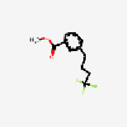 COC(=O)c1cccc(CCCC(F)(F)F)c1